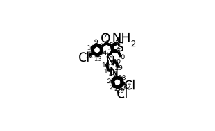 Cc1sc(N)c(C(=O)c2ccc(Cl)cc2)c1CN1CCN(c2ccc(Cl)c(Cl)c2)CC1